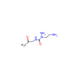 CC(=O)CNC(=O)N(N)CCN